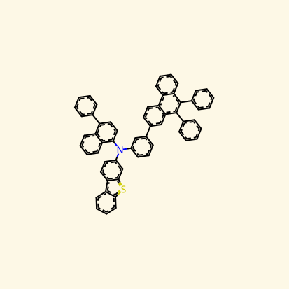 c1ccc(-c2ccc(N(c3cccc(-c4ccc5c(c4)c(-c4ccccc4)c(-c4ccccc4)c4ccccc45)c3)c3ccc4c(c3)sc3ccccc34)c3ccccc23)cc1